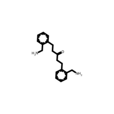 NCc1ccccc1CCC(=O)CCc1ccccc1CN